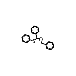 c1ccc(COC(Sc2ccccc2)c2ccccc2)cc1